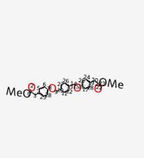 COC(=O)Cc1ccc(OCc2ccc(COc3ccc(CC(=O)OC)cc3)cc2)cc1